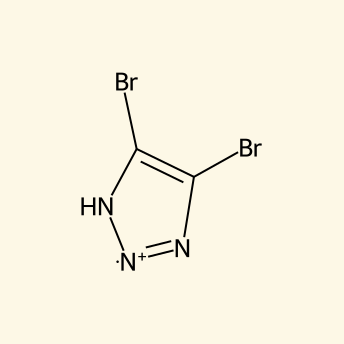 BrC1=C(Br)N[N+]=N1